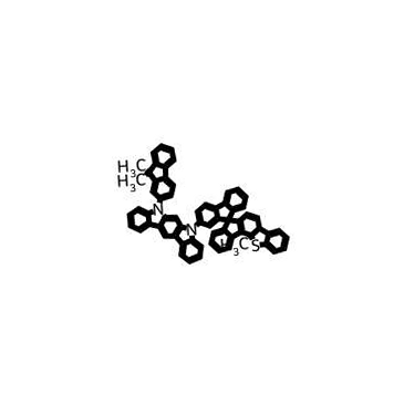 CC1(C)c2ccccc2-c2ccc(-n3c4ccccc4c4cc5c6ccccc6n(-c6ccc7c(c6)C6(C8=C(c9ccccc96)C6(C)Sc9ccccc9C6C=C8)c6ccccc6-7)c5cc43)cc21